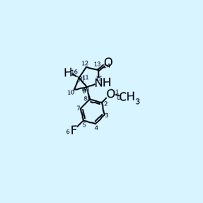 COc1ccc(F)cc1[C@@]12C[C@@H]1CC(=O)N2